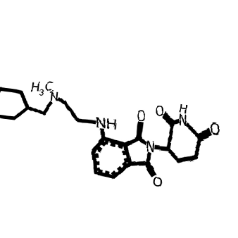 CN(CCNc1cccc2c1C(=O)N(C1CCC(=O)NC1=O)C2=O)CC1CCCCC1